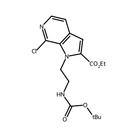 CCOC(=O)c1cc2ccnc(Cl)c2n1CCNC(=O)OC(C)(C)C